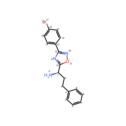 N[C@H](CCc1ccccc1)c1nc(-c2ccc(Br)cc2)no1